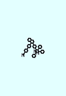 N#Cc1ccc(-c2ccc(-c3c(-c4ccc(-c5nc(-c6ccccc6)nc(-c6ccccc6)c5-c5ccccc5)cc4)ccc4ccccc34)cc2)cc1